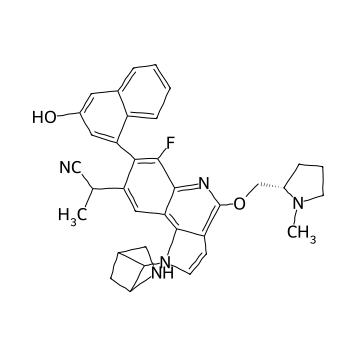 CC(C#N)c1cc2c(nc(OC[C@@H]3CCCN3C)c3ccn(C4C5CNC4C5)c32)c(F)c1-c1cc(O)cc2ccccc12